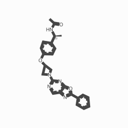 CC(=O)N[C@@H](C)c1ccc(OC2CN(c3ncc4nc(-c5ccccc5)oc4n3)C2)cc1